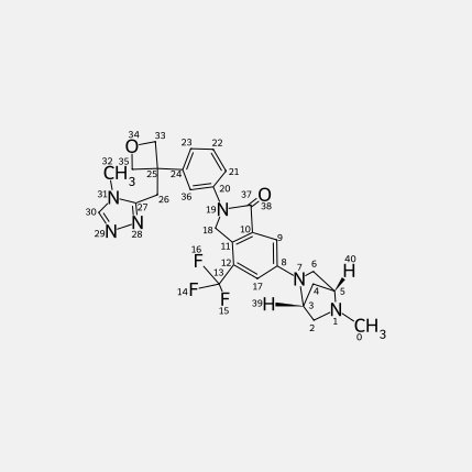 CN1C[C@H]2C[C@@H]1CN2c1cc2c(c(C(F)(F)F)c1)CN(c1cccc(C3(Cc4nncn4C)COC3)c1)C2=O